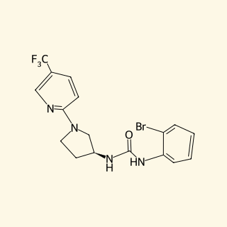 O=C(Nc1ccccc1Br)N[C@H]1CCN(c2ccc(C(F)(F)F)cn2)C1